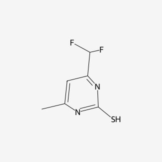 Cc1cc(C(F)F)nc(S)n1